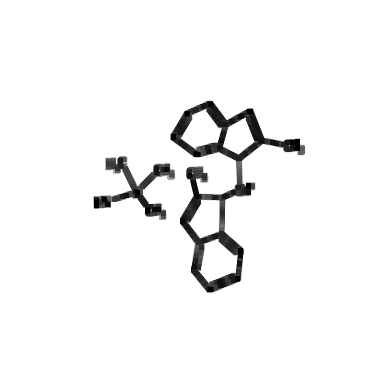 CC1=Cc2ccccc2[CH]1[Gd+][CH]1C(C)=Cc2ccccc21.C[Si](C)(C)[NH-]